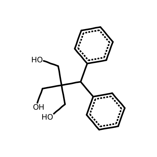 OCC(CO)(CO)C(c1ccccc1)c1ccccc1